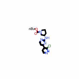 CCCCOC(=O)N1CCC[C@H](Nc2nccc(-c3ccnnc3Cl)n2)C1